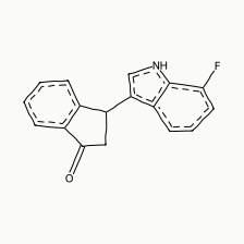 O=C1CC(c2c[nH]c3c(F)cccc23)c2ccccc21